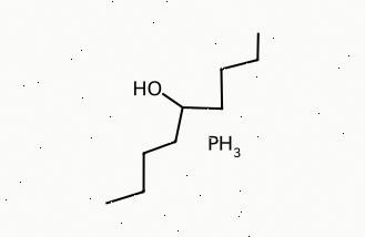 CCCCC(O)CCCC.P